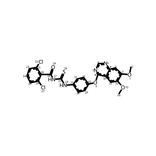 COc1cc2ncnc(Oc3ccc(NC(=S)NC(=O)c4c(Cl)cccc4Cl)cc3)c2cc1OC